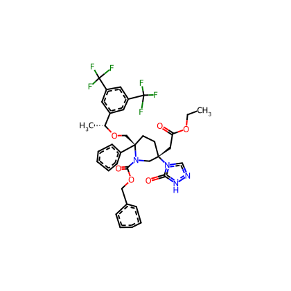 CCOC(=O)C[C@]1(n2cn[nH]c2=O)CC[C@@](CO[C@H](C)c2cc(C(F)(F)F)cc(C(F)(F)F)c2)(c2ccccc2)N(C(=O)OCc2ccccc2)C1